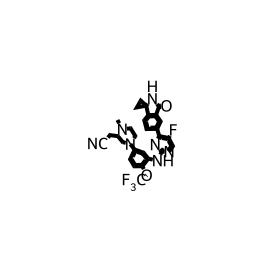 CN1CCN(c2ccc(OC(F)(F)F)c(Nc3ncc(F)c(-c4ccc5c(c4)C(=O)NC54CC4)n3)c2)CC1CC#N